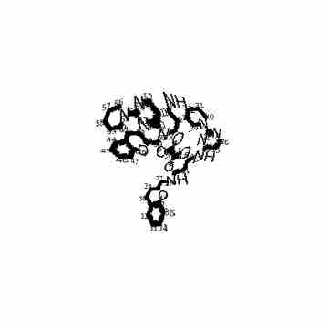 NCCC(OC(=O)C(=O)OC(CCNc1ccnc(N2CCCCC2)n1)NCC1CCc2ccccc2O1)N(CC1CCc2ccccc2O1)c1ccnc(N2CCCCC2)n1